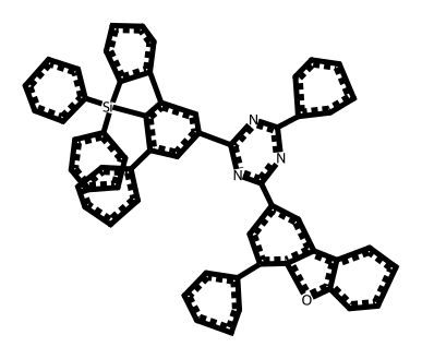 c1ccc(-c2nc(-c3cc(-c4ccccc4)c4c(c3)-c3ccccc3[Si]4(c3ccccc3)c3ccccc3)nc(-c3cc(-c4ccccc4)c4oc5ccccc5c4c3)n2)cc1